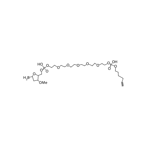 BC1CC(OC)C(COP(=O)(O)OCCOCCOCCOCCOCCOCCOP(=O)(O)OCCCCC#C)O1